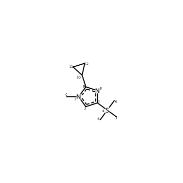 Cn1cc(S(C)(C)C)nc1C1CC1